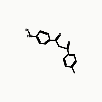 CCNc1ccc(C(=O)CC(=O)c2ccc(C)cc2)cc1